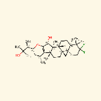 CC(=O)O[C@@H]([C@H]1C[C@@H](C)C2=C(O1)[C@H](O)[C@@]1(C)[C@@H]3CC[C@H]4C(C)(C)C(F)(F)CC[C@@]45C[C@@]35CC[C@]21C)C(C)(C)O